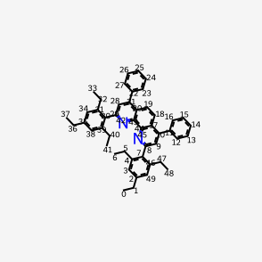 CCc1cc(CC)c(-c2cc(-c3ccccc3)c3ccc4c(-c5ccccc5)cc(-c5c(CC)cc(CC)cc5CC)nc4c3n2)c(CC)c1